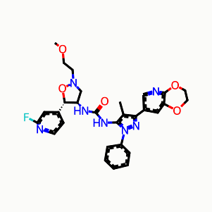 COCCN1C[C@@H](NC(=O)Nc2c(C)c(-c3cnc4c(c3)OCCO4)nn2-c2ccccc2)[C@H](c2ccnc(F)c2)O1